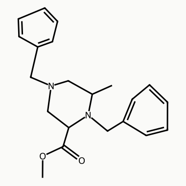 COC(=O)C1CN(Cc2ccccc2)CC(C)N1Cc1ccccc1